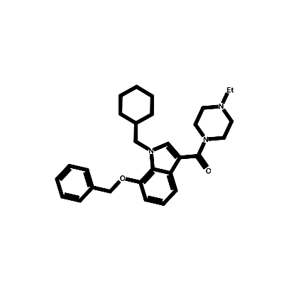 CCN1CCN(C(=O)c2cn(CC3CCCCC3)c3c(OCc4ccccc4)cccc23)CC1